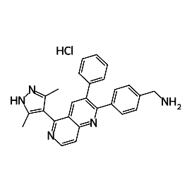 Cc1n[nH]c(C)c1-c1nccc2nc(-c3ccc(CN)cc3)c(-c3ccccc3)cc12.Cl